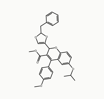 COC(=O)C1=C(c2ccc(OC)cc2)c2cc(OC(C)C)ccc2OC1C1=COC(Cc2ccccc2)O1